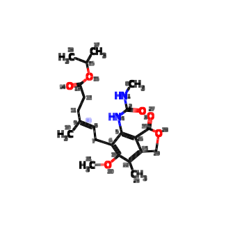 CNC(=O)Nc1c(C/C=C(\C)CCC(=O)OC(C)C)c(OC)c(C)c2c1C(=O)OC2